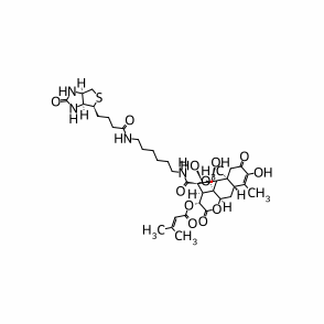 CC(C)=CC(=O)O[C@H]1C(=O)O[C@@H]2C[C@H]3C(C)=C(O)C(=O)C[C@]3(C)C3[C@@H](O)[C@H](O)[C@@]4(C(=O)NCCCCCCNC(=O)CCC[C@@H]5SC[C@@H]6NC(=O)N[C@@H]65)OC[C@]32[C@@H]14